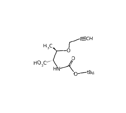 C#CCO[C@H](C)[C@H](NC(=O)OC(C)(C)C)C(=O)O